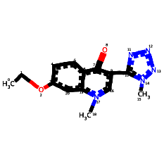 CCOc1ccc2c(=O)c(-c3nnnn3C)cn(C)c2c1